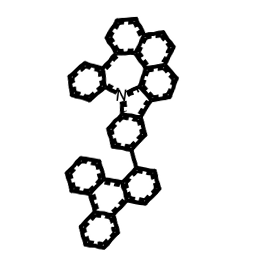 c1ccc2c(c1)c1ccccc1c1c(-c3ccc4c(c3)c3ccc5ccc6cccc7c8ccccc8n4c3c5c67)cccc21